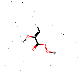 CCC=C(OCC)C(=O)OOCC